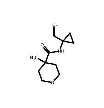 CC1(C(=O)NC2(CO)CC2)CCOCC1